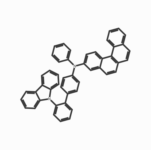 c1ccc(N(c2ccc(-c3ccccc3-n3c4ccccc4c4ccccc43)cc2)c2ccc3c(ccc4ccc5ccccc5c43)c2)cc1